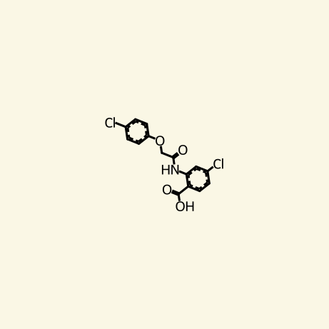 O=C(COc1ccc(Cl)cc1)Nc1cc(Cl)ccc1C(=O)O